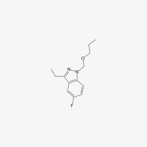 CCCOCn1nc(CC)c2cc(F)ccc21